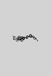 COc1ccc(-c2ccc(-c3ccc4c(c3)CCC(N(C)C)C4(C)OC)cc2)cc1